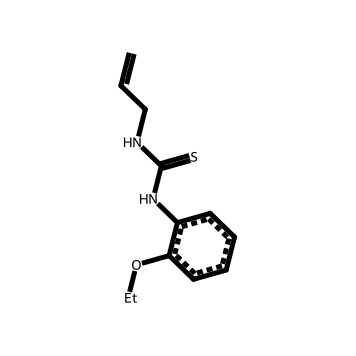 C=CCNC(=S)Nc1ccccc1OCC